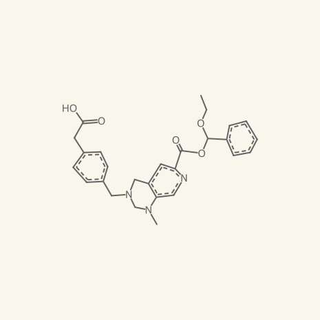 CCOC(OC(=O)c1cc2c(cn1)N(C)CN(Cc1ccc(CC(=O)O)cc1)C2)c1ccccc1